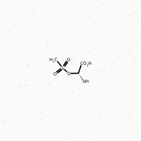 CCC[C@H](OS(C)(=O)=O)C(=O)O